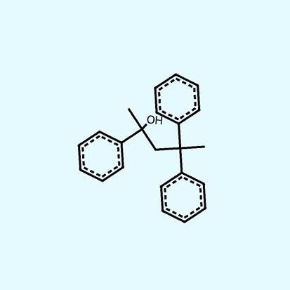 CC(O)(CC(C)(c1ccccc1)c1ccccc1)c1ccccc1